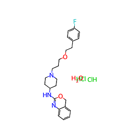 Cl.Cl.Fc1ccc(CCOCCCN2CCC(NC3=Nc4ccccc4CO3)CC2)cc1.O